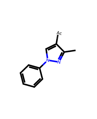 CC(=O)c1cn(-c2ccccc2)nc1C